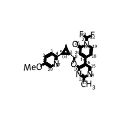 COc1ccc([C@H]2C[C@@H]2COc2nc(C)ncc2-c2ccn(C(F)F)c(=O)c2)nc1